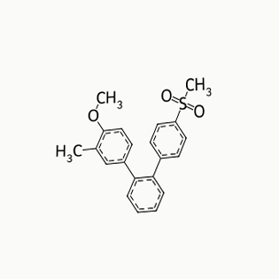 COc1ccc(-c2ccccc2-c2ccc(S(C)(=O)=O)cc2)cc1C